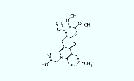 COc1ccc(Cc2cn(CC(=O)O)c3ccc(C)cc3c2=O)c(OC)c1OC